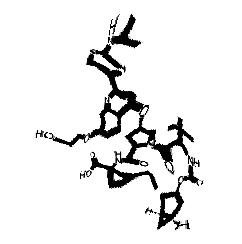 CCC1C[C@]1(NC(=O)C1C[C@@H](Oc2cc(-c3csc(NC(C)C)n3)nc3cc(OCCO)ccc23)CN1C(=O)C(NC(=O)O[C@@H]1C[C@@H]2C[C@@H]2C1)C(C)(C)C)C(=O)O